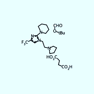 CC(C)(C)OC=O.FC(F)(F)c1cn(CCN2CCCC2)c(N2CCCCC2)n1.O=C(O)CCC(=O)O